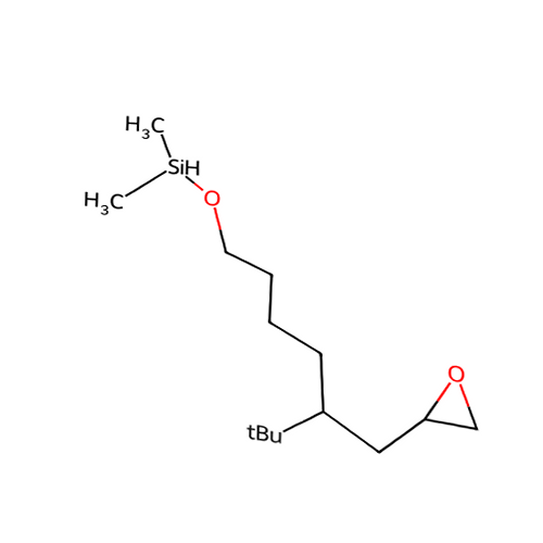 C[SiH](C)OCCCCC(CC1CO1)C(C)(C)C